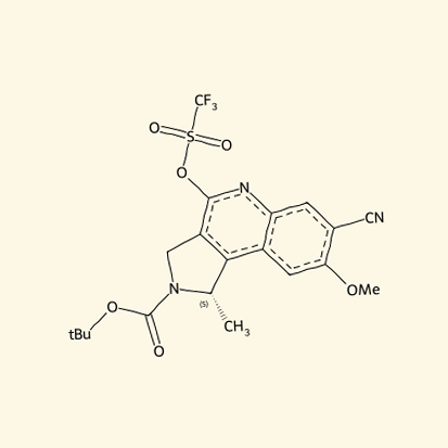 COc1cc2c3c(c(OS(=O)(=O)C(F)(F)F)nc2cc1C#N)CN(C(=O)OC(C)(C)C)[C@H]3C